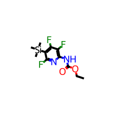 CCOC(=O)Nc1nc(F)c([Si](C)(C)C)c(F)c1F